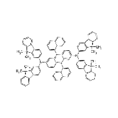 CC1(C)C2=C(C=CCC2)c2ccc(N(c3ccc4c(c3)C(C)(C)C3C=CC=CC43)c3ccc4c(-c5cccc6ccccc56)c5cc(N(c6ccc7c(c6)C(C)(C)c6ccccc6-7)c6ccc7c(c6)C(C)(C)c6ccccc6-7)ccc5c(-c5cccc6ccccc56)c4c3)cc21